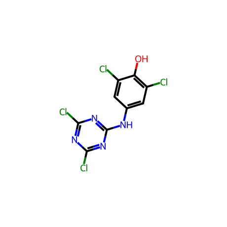 Oc1c(Cl)cc(Nc2nc(Cl)nc(Cl)n2)cc1Cl